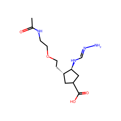 CC(=O)NCCOCC[C@H]1CC(C(=O)O)C[C@@H]1NC=NN